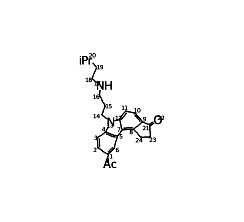 CC(=O)c1ccc2c(c1)c1c3c(ccc1n2CCCNCCC(C)C)C(=O)CC3